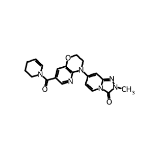 Cn1nc2cc(N3CCOc4cc(C(=O)N5C=CCCC5)cnc43)ccn2c1=O